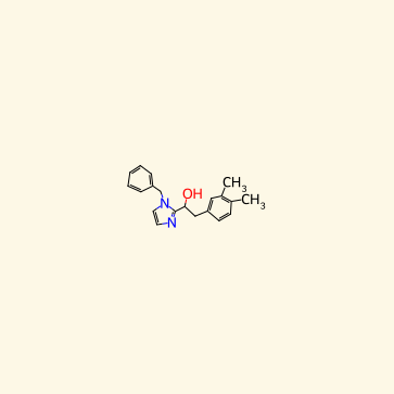 Cc1ccc(CC(O)c2nccn2Cc2ccccc2)cc1C